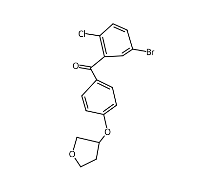 O=C(c1ccc(OC2CCOC2)cc1)c1cc(Br)ccc1Cl